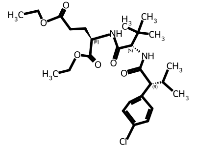 CCOC(=O)CC[C@@H](NC(=O)[C@@H](NC(=O)[C@@H](c1ccc(Cl)cc1)C(C)C)C(C)(C)C)C(=O)OCC